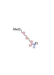 [CH2]CNC(=O)OCCOCCOCCOC